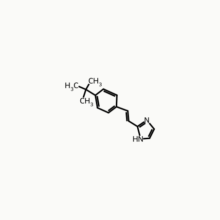 CC(C)(C)c1ccc(/C=C/c2ncc[nH]2)cc1